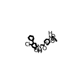 C=CS(=O)(=O)NC1CCN(C(=O)CNc2cc(-c3ccccc3)c(Cl)cc2O)CC1